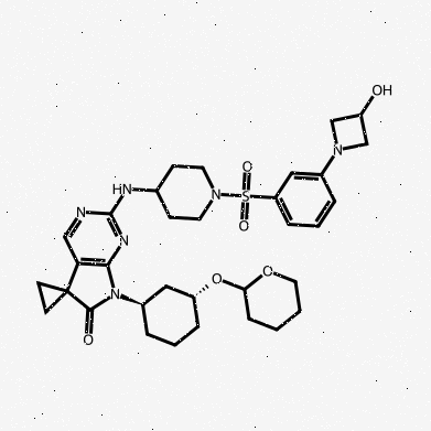 O=C1N([C@@H]2CCC[C@@H](OC3CCCCO3)C2)c2nc(NC3CCN(S(=O)(=O)c4cccc(N5CC(O)C5)c4)CC3)ncc2C12CC2